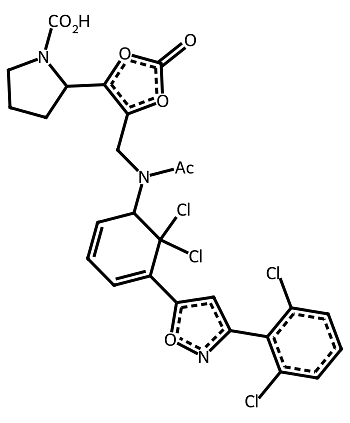 CC(=O)N(Cc1oc(=O)oc1C1CCCN1C(=O)O)C1C=CC=C(c2cc(-c3c(Cl)cccc3Cl)no2)C1(Cl)Cl